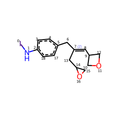 INc1ccc(C/C(=C/C2COC2)CC2CO2)cc1